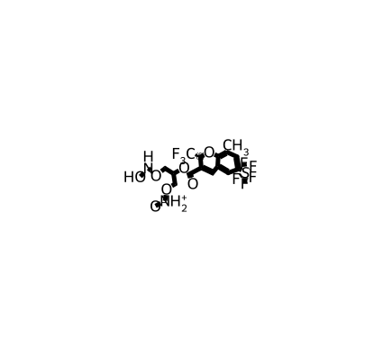 Cc1cc(S(F)(F)(F)(F)F)cc2c1O[C@H](C(F)(F)F)C(C(=O)OC(CONO)CO[NH2+][O-])=C2